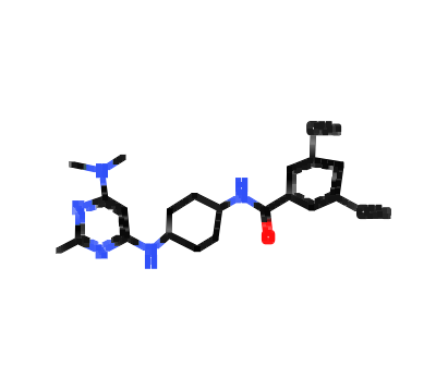 COc1cc(OC)cc(C(=O)NC2CCC(Nc3cc(N(C)C)nc(C)n3)CC2)c1